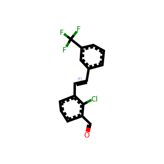 O=Cc1cccc(/C=C/c2cccc(C(F)(F)F)c2)c1Cl